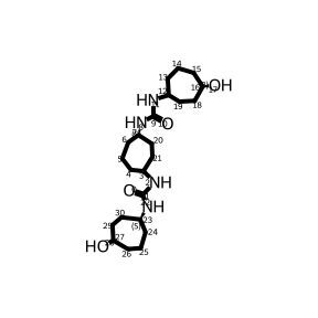 O=C(NC1CCC[C@H](NC(=O)NC2CCC[C@@H](O)CC2)CC1)N[C@H]1CCCC(O)CC1